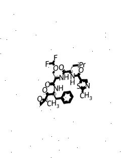 Cc1ncc(C(=O)N[C@@H](CC(C)C)C(=O)N[C@@H](COC(F)F)C(=O)N[C@@H](Cc2ccccc2)C(=O)[C@@]2(C)CO2)s1